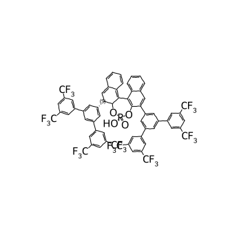 O=P1(O)Oc2c(-c3cc(-c4cc(C(F)(F)F)cc(C(F)(F)F)c4)cc(-c4cc(C(F)(F)F)cc(C(F)(F)F)c4)c3)cc3ccccc3c2C2=c3ccccc3=C[C@@H](c3cc(-c4cc(C(F)(F)F)cc(C(F)(F)F)c4)cc(-c4cc(C(F)(F)F)cc(C(F)(F)F)c4)c3)C2O1